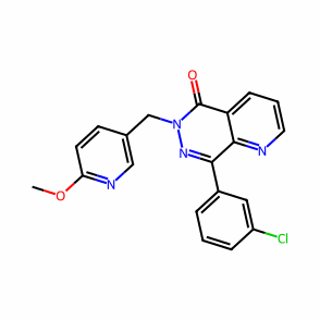 COc1ccc(Cn2nc(-c3cccc(Cl)c3)c3ncccc3c2=O)cn1